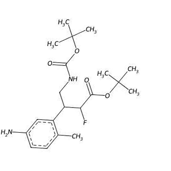 Cc1ccc(N)cc1C(CNC(=O)OC(C)(C)C)C(F)C(=O)OC(C)(C)C